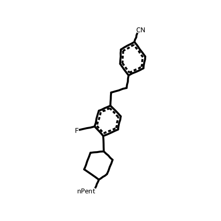 CCCCCC1CCC(c2ccc(CCc3ccc(C#N)cc3)cc2F)CC1